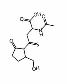 CC(=O)NC(CC(=S)C1C(=O)CCC1CO)C(=O)O